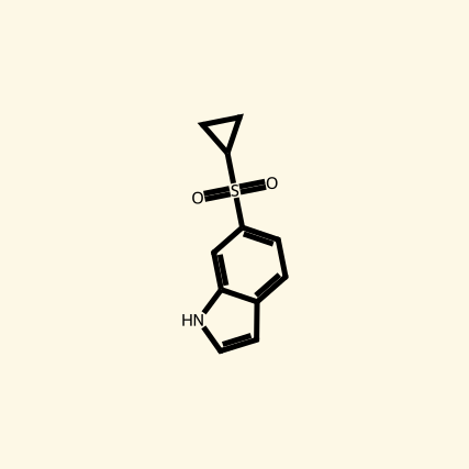 O=S(=O)(c1ccc2cc[nH]c2c1)C1CC1